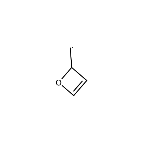 [CH2]C1C=CO1